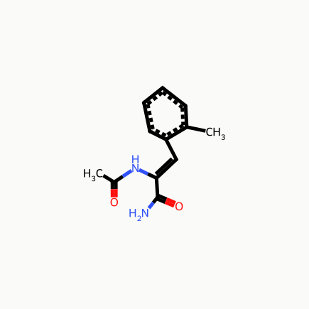 CC(=O)NC(=Cc1ccccc1C)C(N)=O